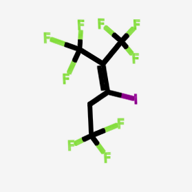 FC(F)(F)CC(I)=C(C(F)(F)F)C(F)(F)F